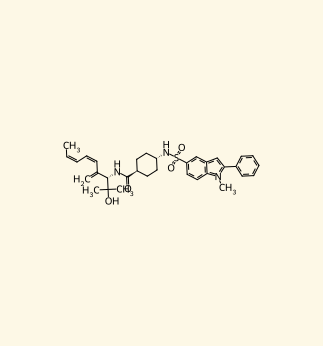 C=C(/C=C\C=C/C)[C@H](NC(=O)[C@H]1CC[C@H](NS(=O)(=O)c2ccc3c(c2)cc(-c2ccccc2)n3C)CC1)C(C)(C)O